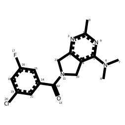 Cc1nc2c(c(N(C)C)n1)CN(C(=O)c1cc(F)cc(Cl)c1)C2